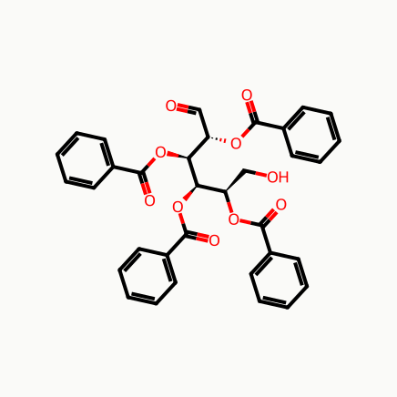 O=C[C@H](OC(=O)c1ccccc1)[C@H](OC(=O)c1ccccc1)[C@H](OC(=O)c1ccccc1)[C@@H](CO)OC(=O)c1ccccc1